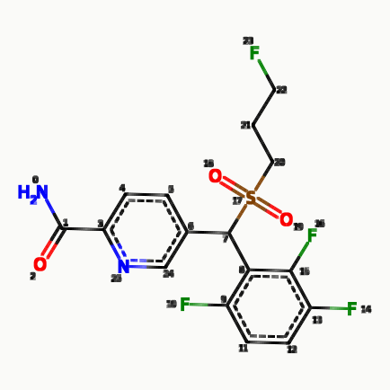 NC(=O)c1ccc(C(c2c(F)ccc(F)c2F)S(=O)(=O)CCCF)cn1